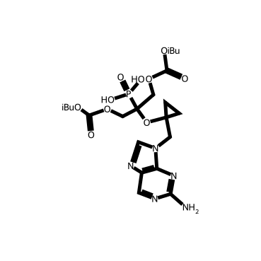 CC(C)COC(=O)OCC(COC(=O)OCC(C)C)(OC1(Cn2cnc3cnc(N)nc32)CC1)P(=O)(O)O